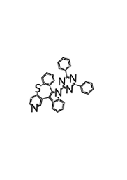 c1ccc(-c2nc(-c3ccccc3)nc(-n3c4c(c5ccccc53)-c3cnccc3Sc3ccccc3-4)n2)cc1